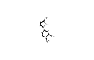 N#Cc1ccc(-c2ccc(Cl)s2)cc1F